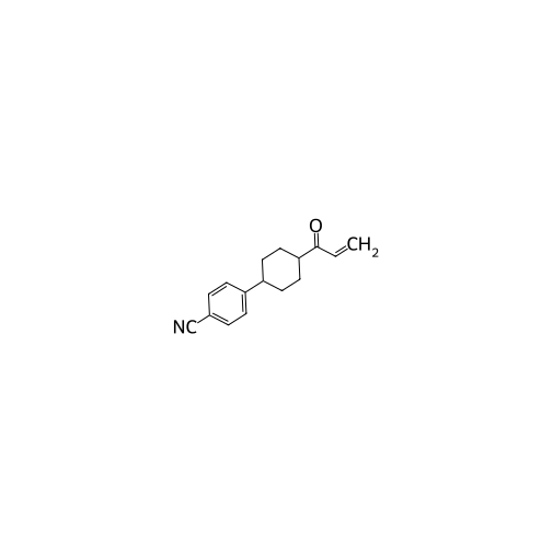 C=CC(=O)C1CCC(c2ccc(C#N)cc2)CC1